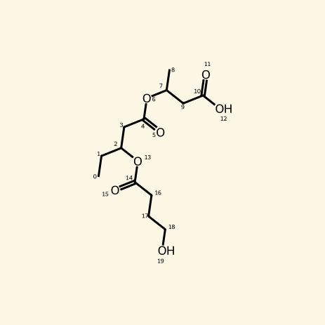 CCC(CC(=O)OC(C)CC(=O)O)OC(=O)CCCO